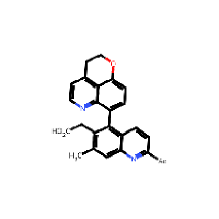 CC(=O)c1ccc2c(-c3ccc4c5c(ccnc35)CCO4)c(CC(=O)O)c(C)cc2n1